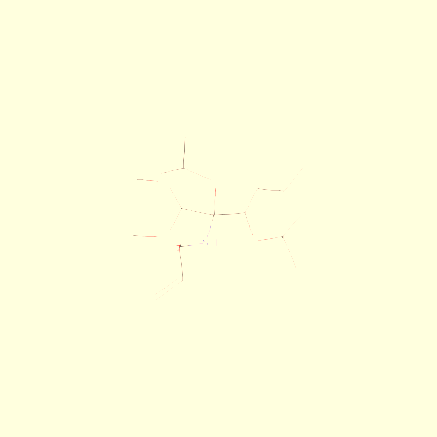 C=CC(=O)NC(OC(C)C)(C(CCC)OC(C)C)C(OC)OC